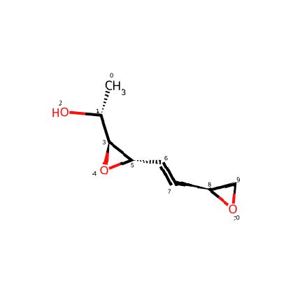 C[C@@H](O)[C@@H]1O[C@H]1/C=C/[C@H]1CO1